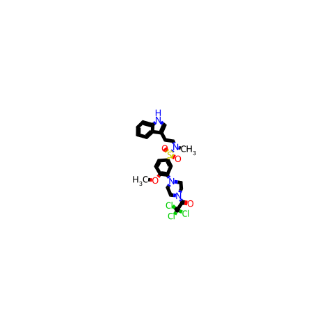 COc1ccc(S(=O)(=O)N(C)CCc2c[nH]c3ccccc23)cc1N1CCN(C(=O)C(Cl)(Cl)Cl)CC1